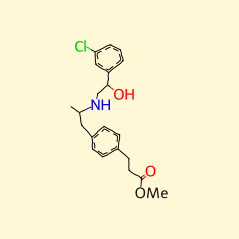 COC(=O)CCc1ccc(CC(C)NCC(O)c2cccc(Cl)c2)cc1